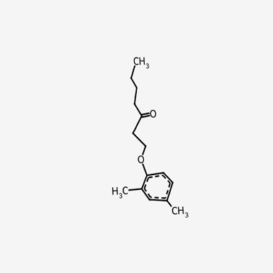 CCCCC(=O)CCOc1ccc(C)cc1C